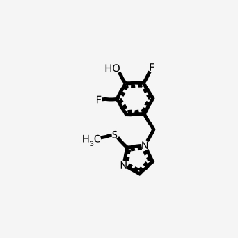 CSc1nccn1Cc1cc(F)c(O)c(F)c1